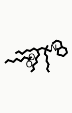 CCCCCCC(=O)OC(CCCC)CC(CCCCCC)CC(C)(CCCCCC)CN1CCCC2CCCCC21